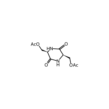 CC(=O)OC[C@H]1NC(=O)[C@@H](COC(C)=O)NC1=O